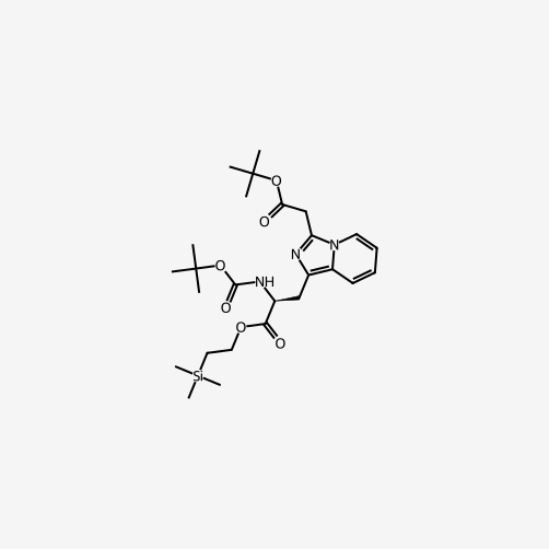 CC(C)(C)OC(=O)Cc1nc(C[C@H](NC(=O)OC(C)(C)C)C(=O)OCC[Si](C)(C)C)c2ccccn12